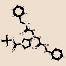 CC(C)(C)OC(=O)N1CCC(N(CC(=O)OCc2ccccc2)CC(=O)OCc2ccccc2)C1